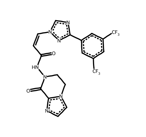 O=C(/C=C\n1cnc(-c2cc(C(F)(F)F)cc(C(F)(F)F)c2)n1)NN1CCn2ccnc2C1=O